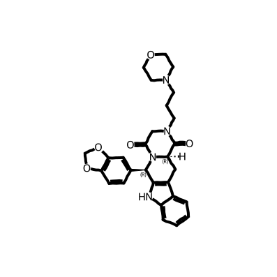 O=C1[C@H]2Cc3c([nH]c4ccccc34)[C@@H](c3ccc4c(c3)OCO4)N2C(=O)CN1CCCN1CCOCC1